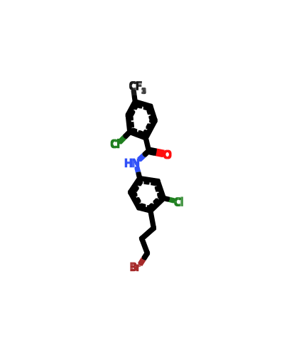 O=C(Nc1ccc(CCCBr)c(Cl)c1)c1ccc(C(F)(F)F)cc1Cl